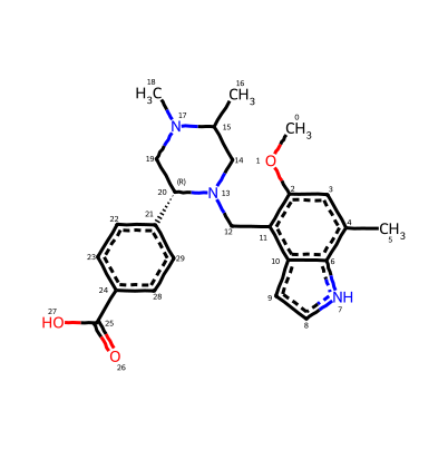 COc1cc(C)c2[nH]ccc2c1CN1CC(C)N(C)C[C@H]1c1ccc(C(=O)O)cc1